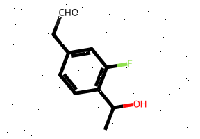 CC(O)c1ccc(CC=O)cc1F